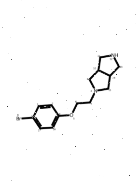 Brc1ccc(OCCN2CC3CNCC3C2)cc1